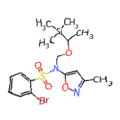 Cc1cc(N(COC(C)[Si](C)(C)C)S(=O)(=O)c2ccccc2Br)on1